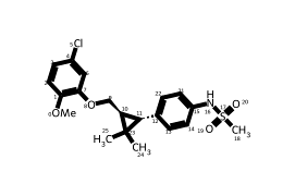 COc1ccc(Cl)cc1OC[C@H]1[C@H](c2ccc(NS(C)(=O)=O)cc2)C1(C)C